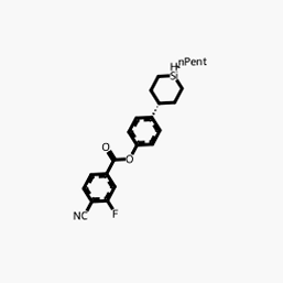 CCCCC[Si@H]1CC[C@H](c2ccc(OC(=O)c3ccc(C#N)c(F)c3)cc2)CC1